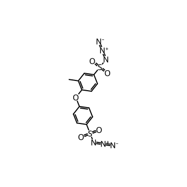 Cc1cc(S(=O)(=O)N=[N+]=[N-])ccc1Oc1ccc(S(=O)(=O)N=[N+]=[N-])cc1